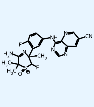 CC1(C)C(N)=N[C@](C)(c2cc(Nc3ncnc4cc(C#N)cnc34)ccc2F)C(F)S1(=O)=O